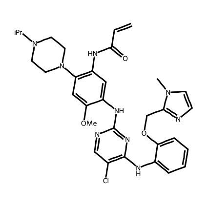 C=CC(=O)Nc1cc(Nc2ncc(Cl)c(Nc3ccccc3OCc3nccn3C)n2)c(OC)cc1N1CCN(C(C)C)CC1